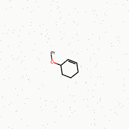 CC(C)OC1C=CCCC1